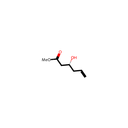 C=CC[C@@H](O)CC(=O)OC